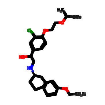 CCOC(=O)COc1ccc2c(c1)C[C@@H](NCC(O)c1ccc(OCCOC(C)OC)c(Cl)c1)CC2